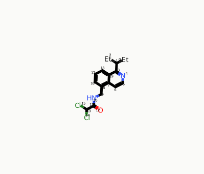 CCC(CC)c1nccc2c(CNC(=O)C(Cl)Cl)cccc12